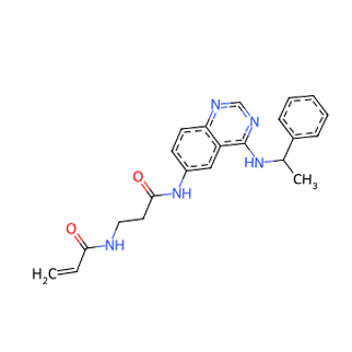 C=CC(=O)NCCC(=O)Nc1ccc2ncnc(NC(C)c3ccccc3)c2c1